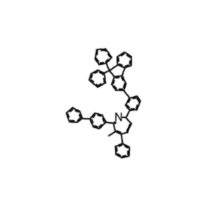 CC1=C(c2ccccc2)C=CC(c2cccc(-c3ccc4c(c3)-c3ccccc3C4(c3ccccc3)c3ccccc3)c2)N=C1c1ccc(-c2ccccc2)cc1